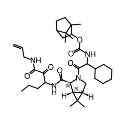 C=CCNC(=O)C(=O)C(CCC)NC(=O)[C@@H]1[C@@H]2[C@H](CN1C(=O)C(NC(=O)OC1CC3CCC1(C)C3(C)C)C1CCCCC1)C2(C)C